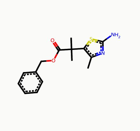 Cc1nc(N)sc1C(C)(C)C(=O)OCc1ccccc1